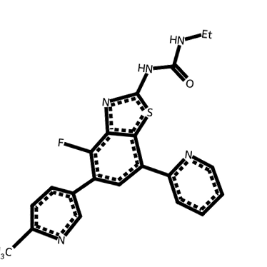 CCNC(=O)Nc1nc2c(F)c(-c3ccc(C)nc3)cc(-c3ccccn3)c2s1